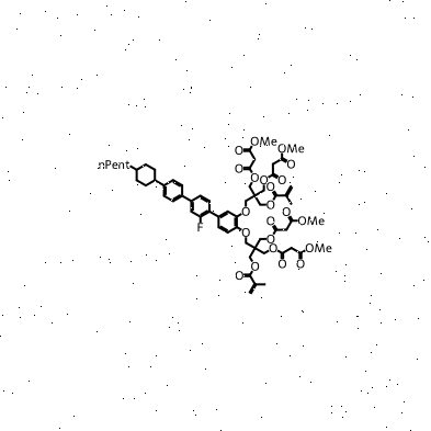 C=C(C)C(=O)OCC(COC(=O)CC(=O)OC)(COC(=O)CC(=O)OC)COc1ccc(-c2ccc(-c3ccc(C4CCC(CCCCC)CC4)cc3)cc2F)cc1OCC(COC(=O)CC(=O)OC)(COC(=O)CC(=O)OC)COC(=O)C(=C)C